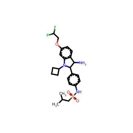 CC(C)CS(=O)(=O)Nc1ccc(C2C(N)c3ccc(OCC(F)F)cc3N2C2CCC2)cc1